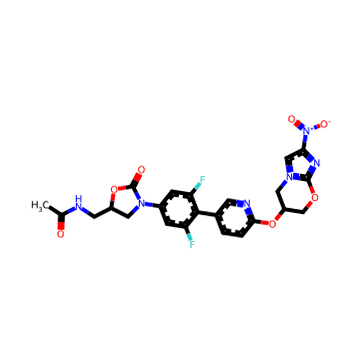 CC(=O)NCC1CN(c2cc(F)c(-c3ccc(OC4COc5nc([N+](=O)[O-])cn5C4)nc3)c(F)c2)C(=O)O1